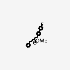 COC(=O)C(CCCc1ccccc1)CCc1ccc(-c2ccc(F)cc2)cc1